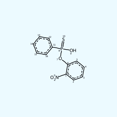 O=[N+]([O-])c1ccccc1OP(O)(=S)c1ccccc1